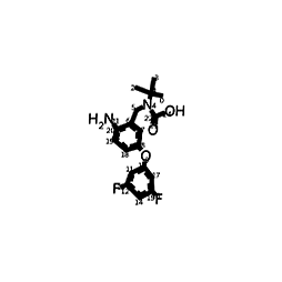 CC(C)(C)N(Cc1cc(Oc2cc(F)cc(F)c2)ccc1N)C(=O)O